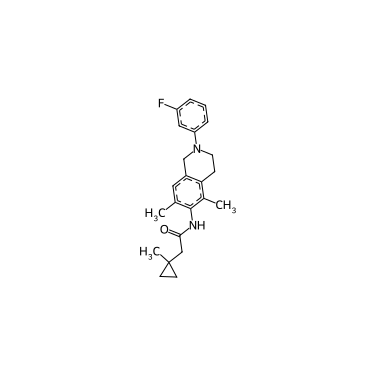 Cc1cc2c(c(C)c1NC(=O)CC1(C)CC1)CCN(c1cccc(F)c1)C2